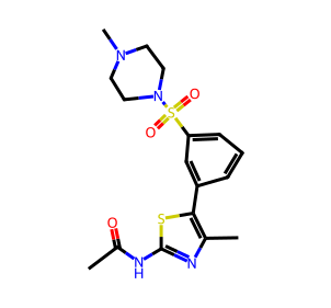 CC(=O)Nc1nc(C)c(-c2cccc(S(=O)(=O)N3CCN(C)CC3)c2)s1